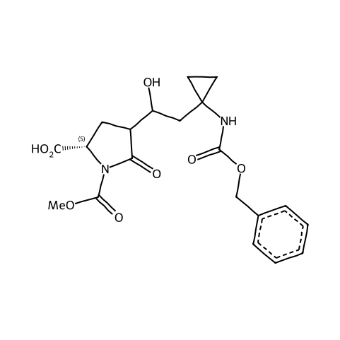 COC(=O)N1C(=O)C(C(O)CC2(NC(=O)OCc3ccccc3)CC2)C[C@H]1C(=O)O